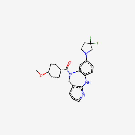 CO[C@H]1CC[C@H](C(=O)N2Cc3cccnc3Nc3ccc(N4CCC(F)(F)C4)cc32)CC1